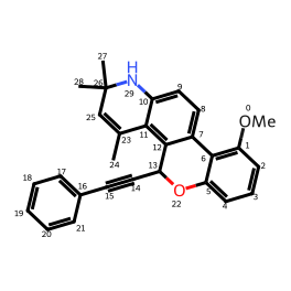 COc1cccc2c1-c1ccc3c(c1C(C#Cc1ccccc1)O2)C(C)=CC(C)(C)N3